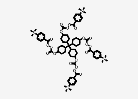 C[Si](C)(C)c1ccc(C(=O)OOC(=O)OC2CCC(C(C3CCC(OC(=O)OOC(=O)c4ccc([Si](C)(C)C)cc4)CC3)(C3CCC(OC(=O)OOC(=O)c4ccc([Si](C)(C)C)cc4)CC3)C3CCC(OC(=O)OOC(=O)c4ccc([Si](C)(C)C)cc4)CC3)CC2)cc1